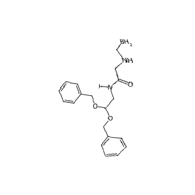 BCNCC(=O)N(I)CC(OCc1ccccc1)OCc1ccccc1